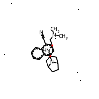 CN(C)CCNC1CC2CCC(C1)N2c1ccc(C#N)c2ccccc12